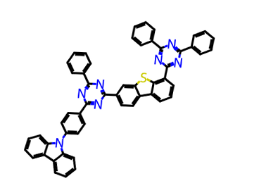 c1ccc(-c2nc(-c3ccc(-n4c5ccccc5c5ccccc54)cc3)nc(-c3ccc4c(c3)sc3c(-c5nc(-c6ccccc6)nc(-c6ccccc6)n5)cccc34)n2)cc1